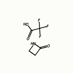 O=C(O)C(F)(F)F.O=C1CCN1